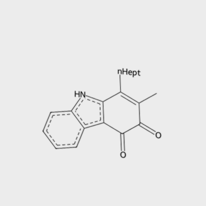 CCCCCCCC1=C(C)C(=O)C(=O)c2c1[nH]c1ccccc21